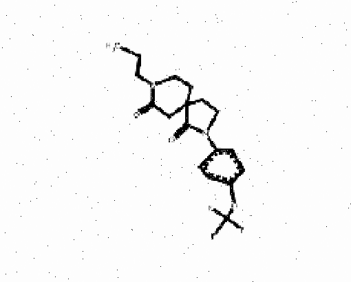 CCCN1CCC2(CCN(c3ccc(OC(F)(F)F)cc3)C2=O)CC1=O